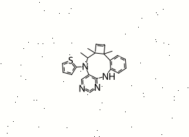 CC1N(c2cccs2)c2cncnc2Nc2ccccc2C2(C)C=CC12C